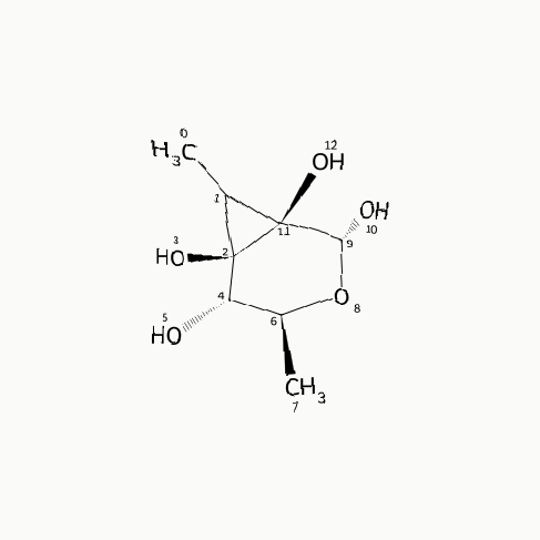 CC1[C@@]2(O)[C@@H](O)[C@H](C)O[C@@H](O)[C@@]12O